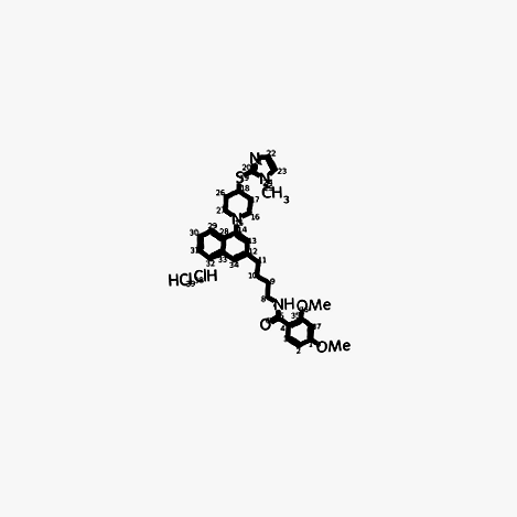 COc1ccc(C(=O)NCCCCc2cc(N3CCC(Sc4nccn4C)CC3)c3ccccc3c2)c(OC)c1.Cl.Cl